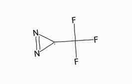 FC(F)(F)[C]1N=N1